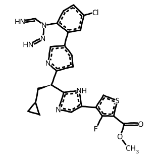 COC(=O)c1scc(-c2cnc([C@@H](CC3CC3)c3ccc(-c4cc(Cl)ccc4N(C=N)N=N)cn3)[nH]2)c1F